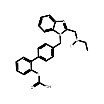 CC[S+]([O-])Cc1nc2ccccc2n1Cc1ccc(-c2ccccc2OC(=O)O)cc1